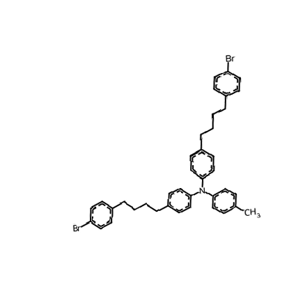 Cc1ccc(N(c2ccc(CCCCc3ccc(Br)cc3)cc2)c2ccc(CCCCc3ccc(Br)cc3)cc2)cc1